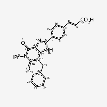 CC(C)n1c(=O)c2nc(-c3ccc(C=CC(=O)O)cc3)[nH]c2n(Cc2ccccc2)c1=O